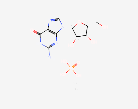 Nc1nc2c(ncn2[C@@H]2O[C@H](CO)[C@@H](O)[C@H]2O)c(=O)[nH]1.O=P(O)(O)O.[Na].[Na]